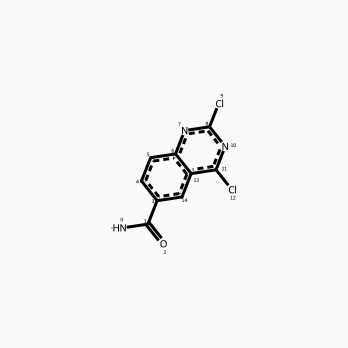 [NH]C(=O)c1ccc2nc(Cl)nc(Cl)c2c1